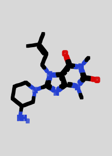 CC(C)=CCn1c(N2CCCC(N)C2)nc2c1c(=O)n(C)c(=O)n2C